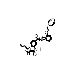 CCCc1nnc2c(=O)[nH]c3cc(C(=O)NCc4ccccc4OCCN4CCOCC4)ccc3n12